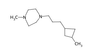 CC1CC(CCCN2CCN(C)CC2)C1